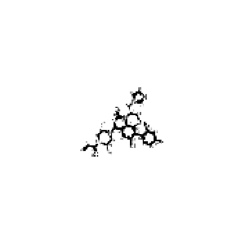 C=CC(=O)N1C[C@H](C)N(c2nc(=O)n3c4c(c(-c5ccc(F)cc5F)c(Cl)cc24)OC[C@@H]3Cn2ccnc2)C[C@H]1C